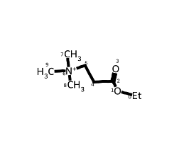 CCOC(=O)CC[N+](C)(C)C